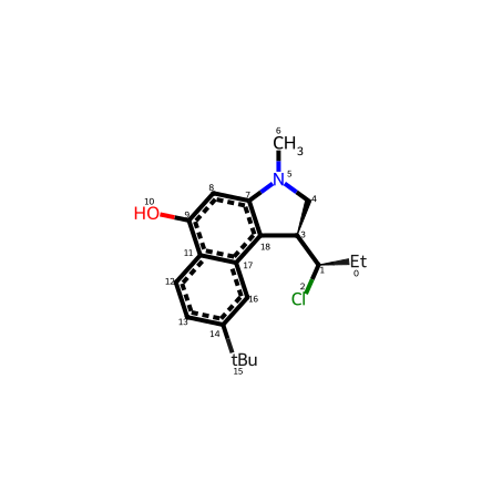 CC[C@@H](Cl)[C@@H]1CN(C)c2cc(O)c3ccc(C(C)(C)C)cc3c21